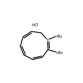 CCCCC1=S(CCCC)CC=CC=CC=C1.Cl